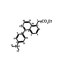 CCOC(=O)Cc1cccc2c(-c3ccc(N(C)C)cc3)nccc12